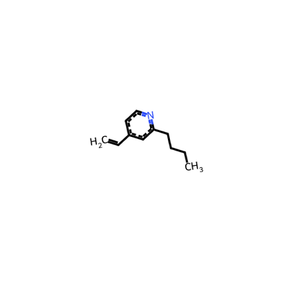 C=Cc1ccnc(CCCC)c1